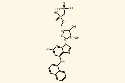 O=P(O)(O)CP(=O)(O)OC[C@H]1O[C@@H](n2cnc3c(Nc4cccc5ccccc45)nc(Cl)nc32)[C@@H](O)C1O